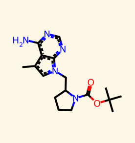 Cc1cn(CC2CCCN2C(=O)OC(C)(C)C)c2ncnc(N)c12